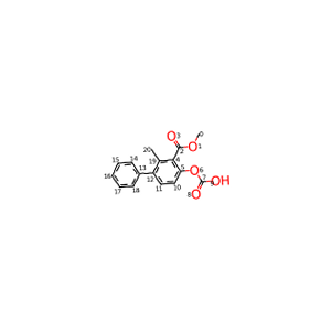 COC(=O)c1c(OC(=O)O)ccc(-c2ccccc2)c1C